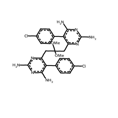 COC(Cc1nc(N)nc(N)c1-c1ccc(Cl)cc1)(Cc1nc(N)nc(N)c1-c1ccc(Cl)cc1)OC